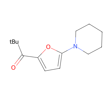 CC(C)(C)C(=O)c1ccc(N2CCCCC2)o1